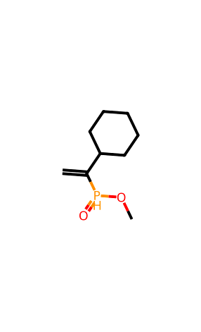 C=C(C1CCCCC1)[PH](=O)OC